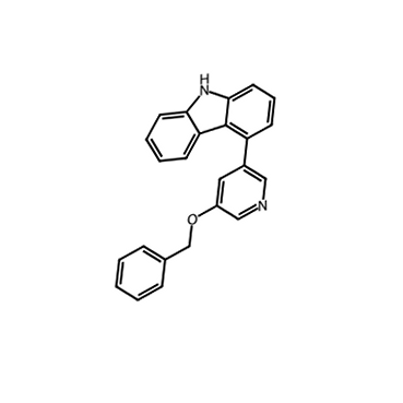 c1ccc(COc2cncc(-c3cccc4[nH]c5ccccc5c34)c2)cc1